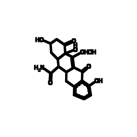 Cl.NC(=O)C1C2Cc3cccc(O)c3C(=O)C2=C(O)C2(O)C(=O)CC(O)CC12